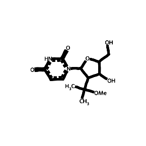 COC(C)(C)C1C(O)C(CO)OC1n1ccc(=O)[nH]c1=O